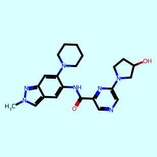 Cn1cc2cc(NC(=O)c3cncc(N4CCC(O)C4)n3)c(N3CCCCC3)cc2n1